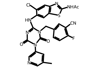 CC(=O)Nc1nc2cc(Cl)c(Nc3nc(=O)n(-c4cncc(C)c4)c(=O)n3Cc3ccc(F)c(C#N)c3)cc2s1